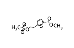 COC(=O)c1ccc(CCOS(C)(=O)=O)s1